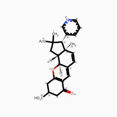 CC(=O)OC1(C)C[C@H]2[C@@H]3OC4=C(C=C3C=C[C@]2(C)[C@H]1c1cccnc1)C(=O)CC(C(=O)O)C4